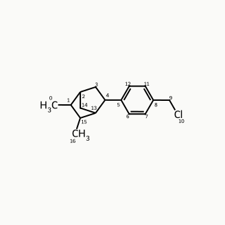 CC1C2CC(c3ccc(CCl)cc3)C(C2)C1C